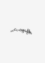 COc1nc(C(F)(F)F)c(C(=O)NCCC(=O)Nc2ccc(C3CCC(CC(=O)O)CC3)cc2)s1